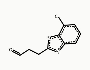 O=CCCc1nc2cccc(Cl)c2s1